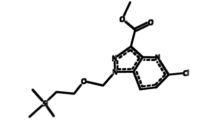 COC(=O)c1nn(COCC[Si](C)(C)C)c2ccc(Cl)nc12